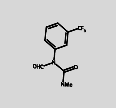 CNC(=O)N(C=O)c1cccc(C(F)(F)F)c1